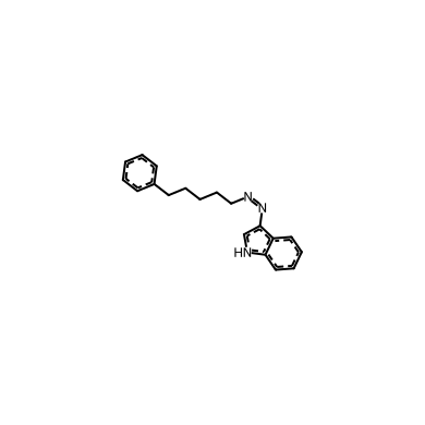 c1ccc(CCCCC/N=N\c2c[nH]c3ccccc23)cc1